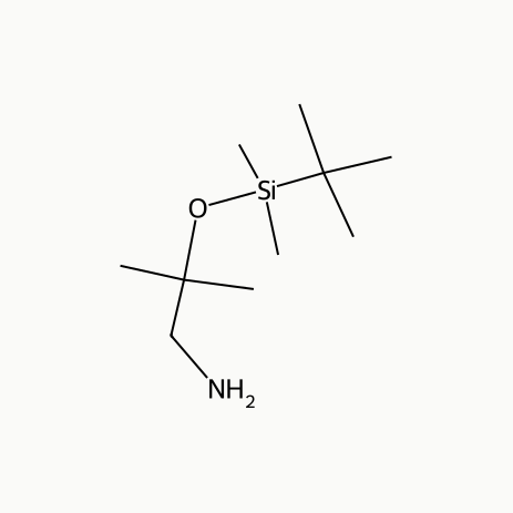 CC(C)(CN)O[Si](C)(C)C(C)(C)C